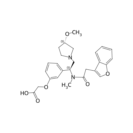 CO[C@H]1CCN(C[C@H](c2cccc(OCC(=O)O)c2)N(C)C(=O)Cc2coc3ccccc23)C1